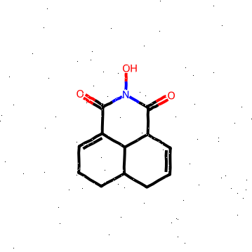 O=C1C2=CCCC3CC=CC(C(=O)N1O)C23